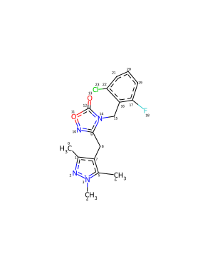 Cc1nn(C)c(C)c1Cc1noc(=O)n1Cc1c(F)cccc1Cl